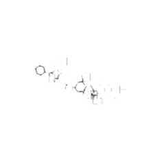 CCOC(=Cc1c(C)cc(OCCc2nc(-c3ccccc3)oc2C)cc1C)C(=O)O